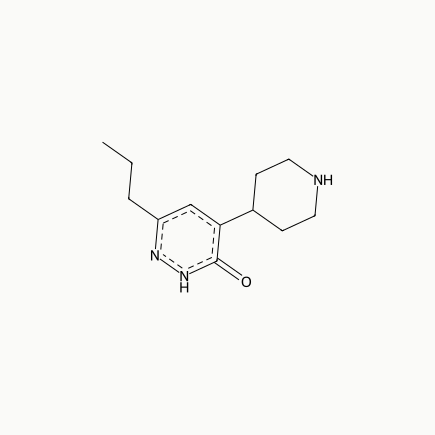 CCCc1cc(C2CCNCC2)c(=O)[nH]n1